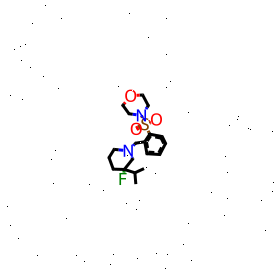 CC(C)C1(F)CCCN(Cc2ccccc2S(=O)(=O)N2CCOCC2)C1